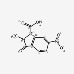 Cn1c(=O)c2ccc([N+](=O)[O-])cc2n1C(=O)O